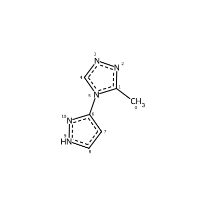 Cc1nncn1-c1cc[nH]n1